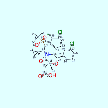 CC(C)(C)S(=O)(=O)C[C@H](C1CC1)N1C(=O)[C@@](C)(CC(=O)O)O[C@H](c2cccc(Cl)c2)[C@H]1c1ccc(Cl)c(F)c1